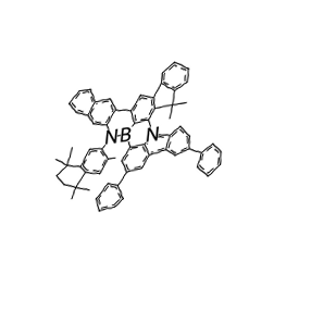 Cc1cc2c(cc1N1B3c4c(cc5c(c4-n4c6ccc(-c7ccccc7)cc6c6cc(-c7ccccc7)cc3c64)C(C)(C)c3ccccc3-5)-c3cc4ccccc4cc31)C(C)(C)CCC2(C)C